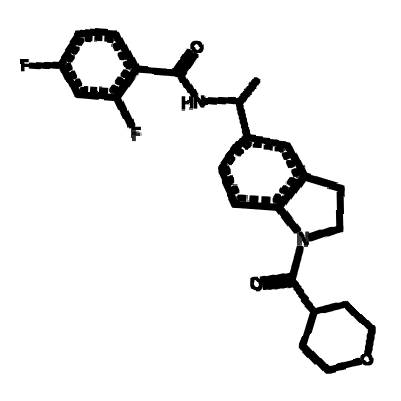 CC(NC(=O)c1ccc(F)cc1F)c1ccc2c(c1)CCN2C(=O)C1CCOCC1